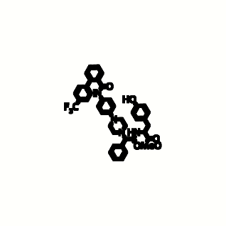 COC(=O)C(Cc1ccc(O)cc1)NC(=O)C(c1ccccc1)N1CCN(c2ccc(NC(=O)c3ccccc3-c3ccc(C(F)(F)F)cc3)cc2)CC1